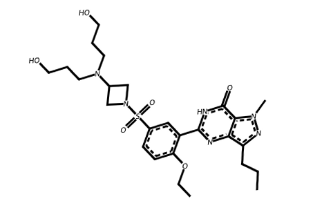 CCCc1nn(C)c2c(=O)[nH]c(-c3cc(S(=O)(=O)N4CC(N(CCCO)CCCO)C4)ccc3OCC)nc12